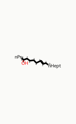 CCCCCCCC/C=C/CCCCC(O)CCC